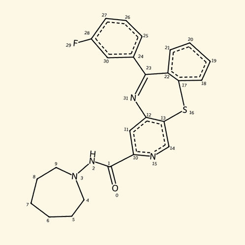 O=C(NN1CCCCCC1)c1cc2c(cn1)Sc1ccccc1C(c1cccc(F)c1)=N2